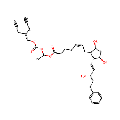 C#CCC(CC#C)COC(=O)OC(OC(=O)CCC/C=C\C[C@@H]1[C@@H](/C=C/[C@@H](O)CCc2ccccc2)[C@H](O)C[C@@H]1O)C(C)C